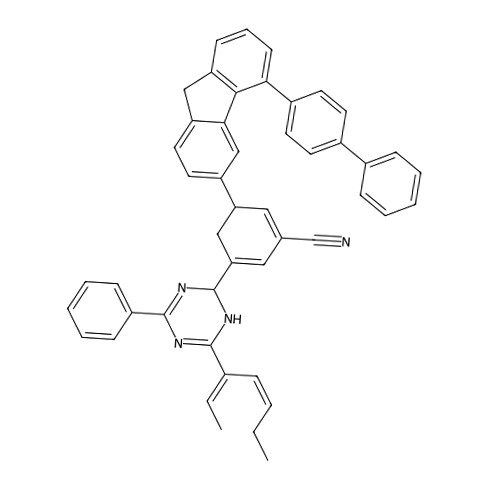 C/C=C(\C=C/CC)C1=NC(c2ccccc2)=NC(C2=CC(C#N)=CC(c3ccc4c(c3)-c3c(cccc3-c3ccc(-c5ccccc5)cc3)C4)C2)N1